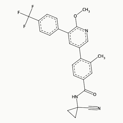 COc1ncc(-c2ccc(C(=O)NC3(C#N)CC3)cc2C)cc1-c1ccc(C(F)(F)F)cc1